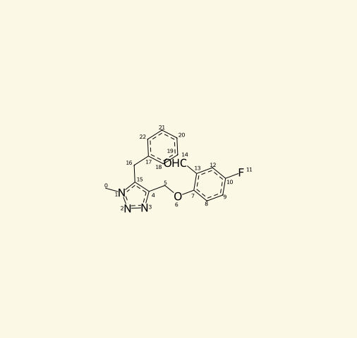 Cn1nnc(COc2ccc(F)cc2C=O)c1Cc1ccccc1